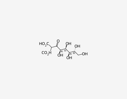 O=C(O)C(C(=O)O)C(=O)[C@H](O)[C@@H](O)[C@H](O)[C@H](O)CO